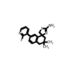 CC1(C)Cc2ccc(-c3cccnc3F)cc2C2(CSC(N)=N2)C1